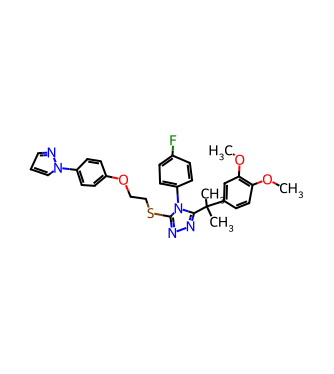 COc1ccc(C(C)(C)c2nnc(SCCOc3ccc(-n4cccn4)cc3)n2-c2ccc(F)cc2)cc1OC